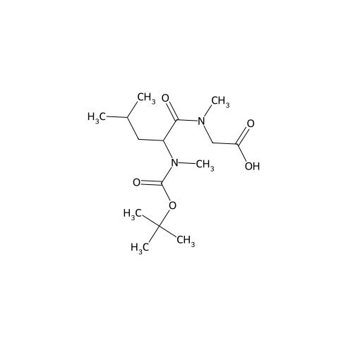 CC(C)CC(C(=O)N(C)CC(=O)O)N(C)C(=O)OC(C)(C)C